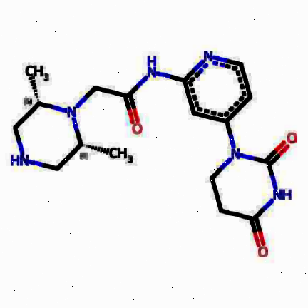 C[C@@H]1CNC[C@H](C)N1CC(=O)Nc1cc(N2CCC(=O)NC2=O)ccn1